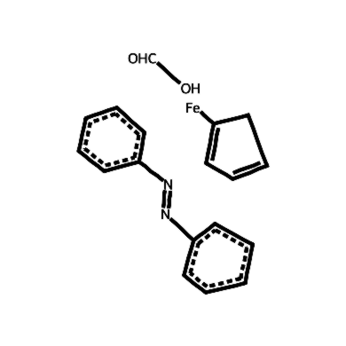 O=CO.[Fe][C]1=CC=CC1.c1ccc(N=Nc2ccccc2)cc1